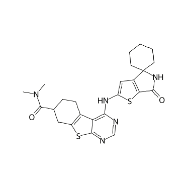 CN(C)C(=O)C1CCc2c(sc3ncnc(Nc4cc5c(s4)C(=O)NC54CCCCC4)c23)C1